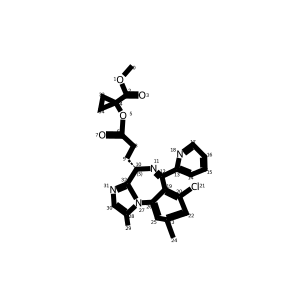 COC(=O)C1(OC(=O)CC[C@@H]2N=C(c3ccccn3)c3c(Cl)cc(C)cc3-n3c(C)cnc32)CC1